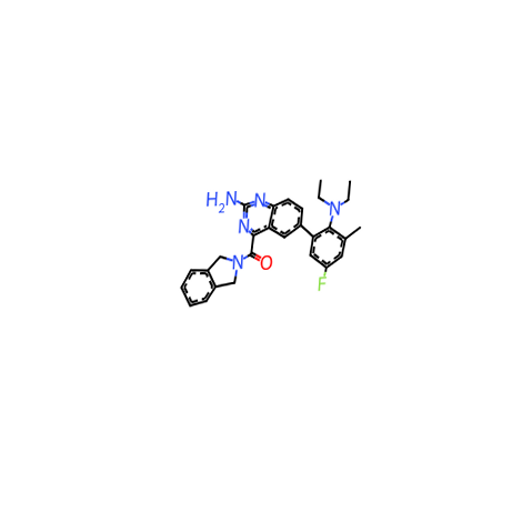 CCN(CC)c1c(C)cc(F)cc1-c1ccc2nc(N)nc(C(=O)N3Cc4ccccc4C3)c2c1